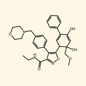 CCNC(=O)c1noc(C2C=C(c3ccccc3)C(O)=CC2(O)COC)c1-c1ccc(CN2CCOCC2)cc1